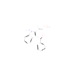 CC(CO)c1[nH]c2ccccc2c1C(=O)c1ccccc1